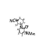 CNc1cccn([C@H]2CCC[C@@H](C#N)C2)c1=O